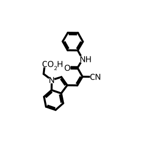 N#CC(=Cc1cn(CC(=O)O)c2ccccc12)C(=O)Nc1ccccc1